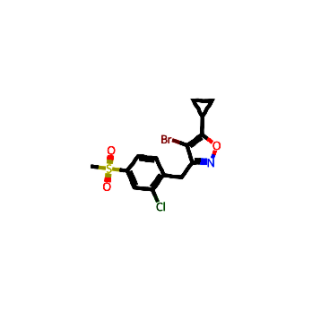 CS(=O)(=O)c1ccc(Cc2noc(C3CC3)c2Br)c(Cl)c1